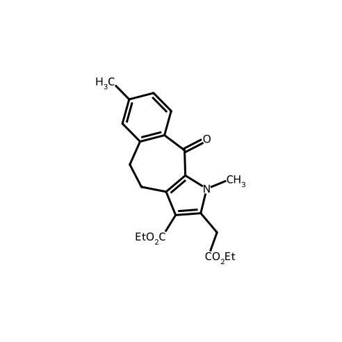 CCOC(=O)Cc1c(C(=O)OCC)c2c(n1C)C(=O)c1ccc(C)cc1CC2